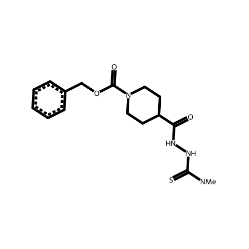 CNC(=S)NNC(=O)C1CCN(C(=O)OCc2ccccc2)CC1